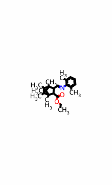 CCOC(=O)C1C(/C=N/c2c(C)cccc2C)C2(C)C(C)=C(C)C1(C)C2C